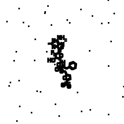 Cc1nc(N)c2ncn([C@@H]3O[C@H](COP(=O)(NCc4ccccc4)OCc4ccc([N+](=O)[O-])o4)C(O)[C@H]3F)c2n1